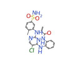 C=CC(=O)Nc1ccccc1Nc1nc(Nc2cc(S(N)(=O)=O)ccc2C)ncc1Cl